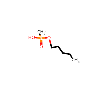 [CH2]P(=O)(O)OCCCCC